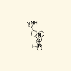 O=C(Cc1ccccc1)N1C2CC[C@H]1C(Cn1cnc3cc(-c4cn[nH]c4)ccc31)C2